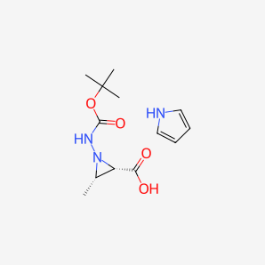 C[C@H]1[C@@H](C(=O)O)N1NC(=O)OC(C)(C)C.c1cc[nH]c1